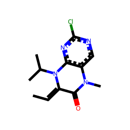 CC=C1C(=O)N(C)c2cnc(Cl)nc2N1C(C)C